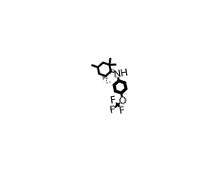 [CH2][C@@H]1CC(C)CC(C)(C)[C@@H]1Nc1ccc(OC(F)(F)F)cc1